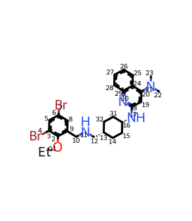 CCOc1c(Br)cc(Br)cc1CNC[C@H]1CC[C@@H](Nc2cc(N(C)C)c3ccccc3n2)CC1